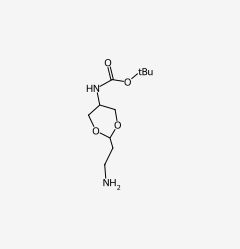 CC(C)(C)OC(=O)NC1COC(CCN)OC1